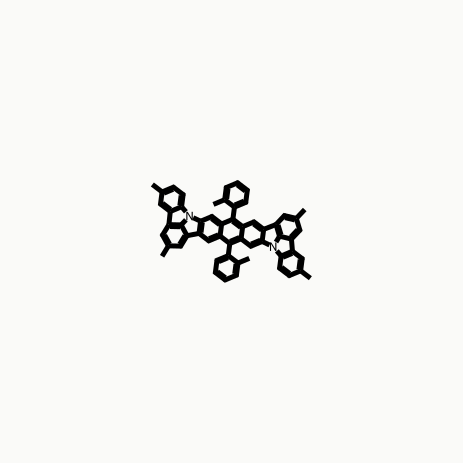 Cc1ccc2c(c1)c1cc(C)cc3c4cc5c(-c6ccccc6C)c6cc7c(cc6c(-c6ccccc6C)c5cc4n2c13)c1cc(C)cc2c3cc(C)ccc3n7c21